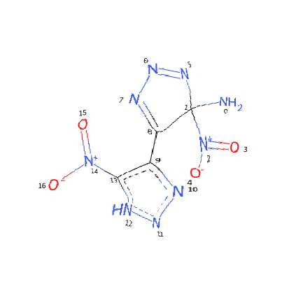 NC1([N+](=O)[O-])N=NN=C1c1nn[nH]c1[N+](=O)[O-]